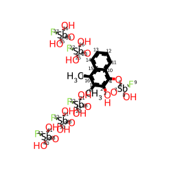 Cc1c(O)c([O][Sb](=[O])([OH])[F])c2ccccc2c1C.[O]=[Sb]([OH])([OH])[F].[O]=[Sb]([OH])([OH])[F].[O]=[Sb]([OH])([OH])[F].[O]=[Sb]([OH])([OH])[F].[O]=[Sb]([OH])([OH])[F]